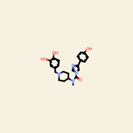 CN(C(=O)n1cnc(-c2ccc(O)cc2)c1)C1CCN(Cc2ccc(O)c(O)c2)CC1